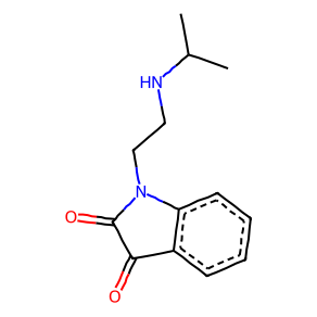 CC(C)NCCN1C(=O)C(=O)c2ccccc21